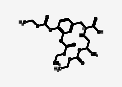 CCOC(=O)Oc1ccc(C[C@H](NCC(C)OC(=O)OCC)C(=O)O)cc1OC(=O)OCC